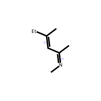 CC/C(C)=C/C(C)=N\C